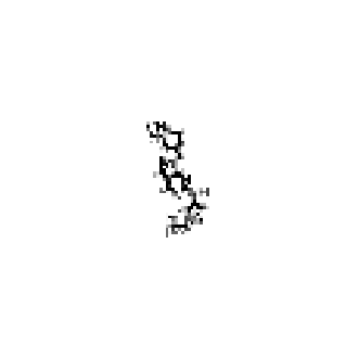 N#CCN1CCCC(Cn2ncc3cnc(Nc4cnn(CC(F)F)c4)nc32)C1